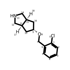 Clc1ccccc1CO[C@@H]1C[C@H]2CNC[C@H]2C1